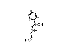 OCCNCC(O)c1ccccc1